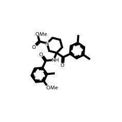 COC(=O)N1CCCC(NC(=O)c2cccc(OC)c2C)(C(=O)c2cc(C)cc(C)c2)C1